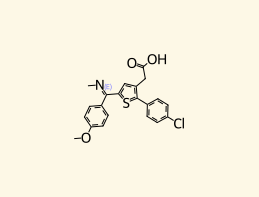 C/N=C(\c1ccc(OC)cc1)c1cc(CC(=O)O)c(-c2ccc(Cl)cc2)s1